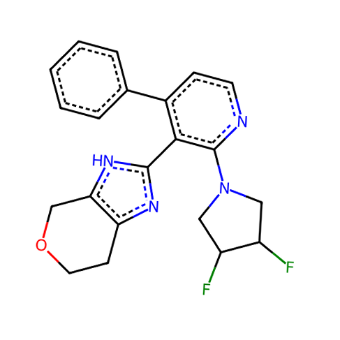 FC1CN(c2nccc(-c3ccccc3)c2-c2nc3c([nH]2)COCC3)CC1F